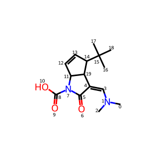 CN(C)C=C1C(=O)N(C(=O)O)C2C=CC(C(C)(C)C)C12